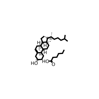 CC(C)CCC[C@@H](C)[C@H]1CC[C@H]2[C@@H]3CC=C4C[C@@H](O)CC[C@]4(C)[C@H]3CC[C@]12C.CCCCCC(=O)O